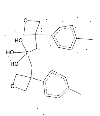 Cc1ccc(C2(CP(O)(O)(O)CC3(c4ccc(C)cc4)COC3)COC2)cc1